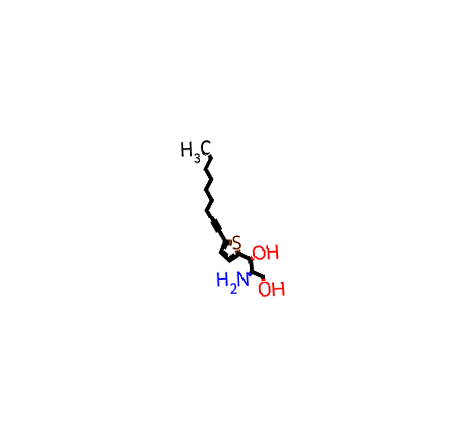 CCCCCCCC#Cc1ccc(C(O)C(N)CO)s1